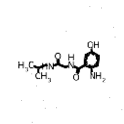 CC(C)CNC(=O)CNC(=O)c1cc(O)ccc1N